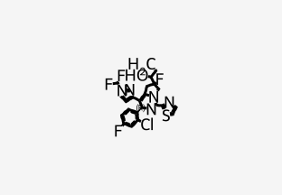 C=CC(O)C1(F)CC2=C(c3ccn(C(F)F)n3)[C@H](c3ccc(F)cc3Cl)N=C(c3nccs3)N2C1